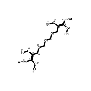 CCCCCC(OCC)=C(COCOCOCC(OCC)=C(CCCCC)OCC)OCC